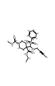 CC#CCOC(C1(C(=O)OCC)CCN(C(=O)OC)CC1)S(=O)(=O)c1ccccc1